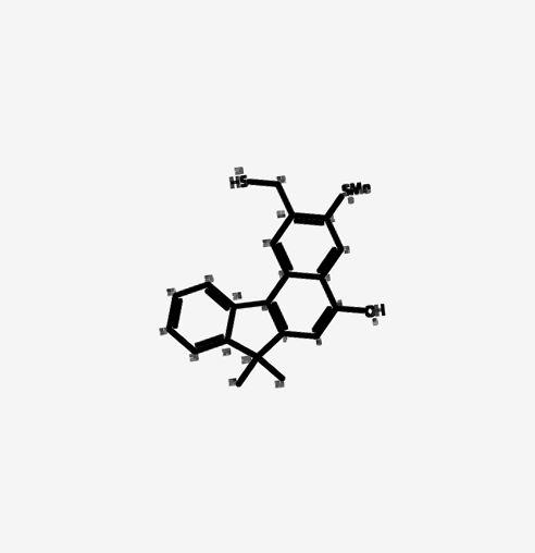 CSc1cc2c(O)cc3c(c2cc1CS)-c1ccccc1C3(C)C